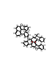 CC1(C)c2ccccc2-c2ccc(N(c3cccc(-c4cccc5ccc6oc7ccccc7c6c45)c3)c3ccccc3-c3ccc4c(c3)oc3ccccc34)cc21